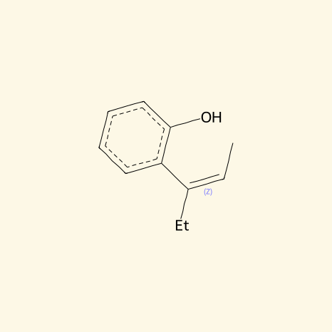 C/C=C(/CC)c1ccccc1O